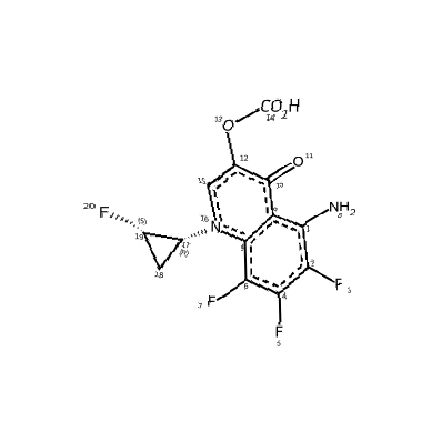 Nc1c(F)c(F)c(F)c2c1c(=O)c(OC(=O)O)cn2[C@@H]1C[C@@H]1F